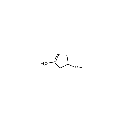 CSC1CC=C(C)C1